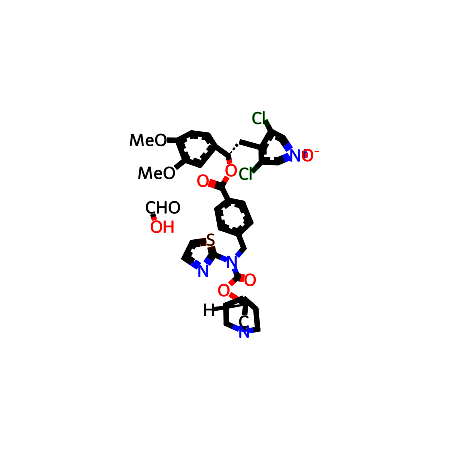 COc1ccc([C@H](Cc2c(Cl)c[n+]([O-])cc2Cl)OC(=O)c2ccc(CN(C(=O)O[C@H]3CN4CCC3CC4)c3nccs3)cc2)cc1OC.O=CO